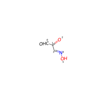 O=CC(=O)C=NO